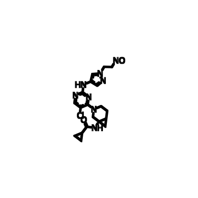 O=NCCn1cc(Nc2ncc(Cl)c(N3CCC4C[C@]4(NC(=O)C4CC4)C3)n2)cn1